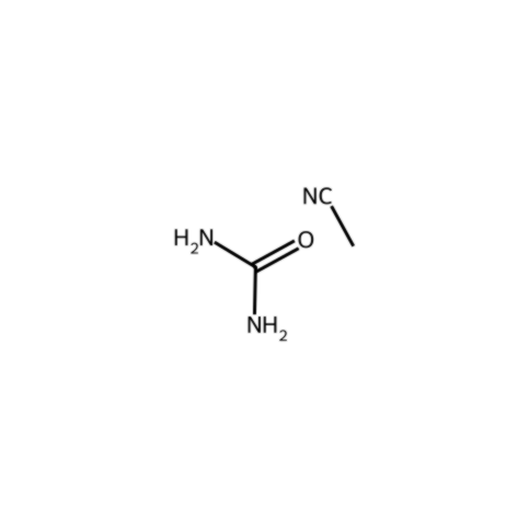 CC#N.NC(N)=O